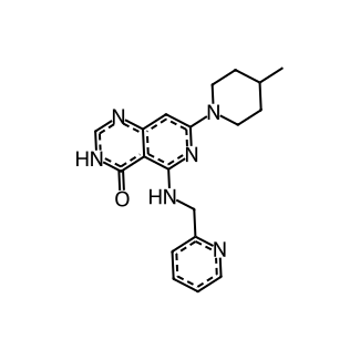 CC1CCN(c2cc3nc[nH]c(=O)c3c(NCc3ccccn3)n2)CC1